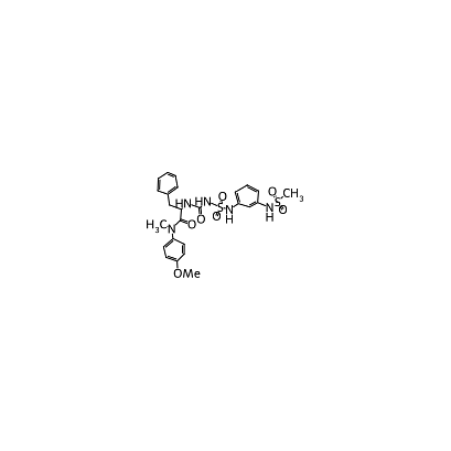 COc1ccc(N(C)C(=O)C(Cc2ccccc2)NC(=O)NS(=O)(=O)Nc2cccc(NS(C)(=O)=O)c2)cc1